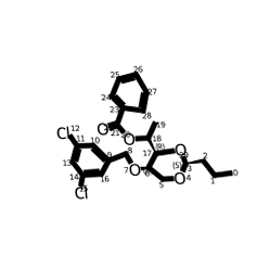 CCC[C@H]1OC[C@@H](OCc2cc(Cl)cc(Cl)c2)[C@@H](C(C)OC(=O)c2ccccc2)O1